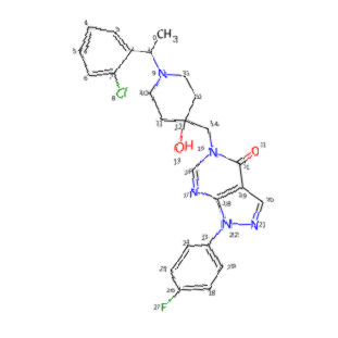 CC(c1ccccc1Cl)N1CCC(O)(Cn2cnc3c(cnn3-c3ccc(F)cc3)c2=O)CC1